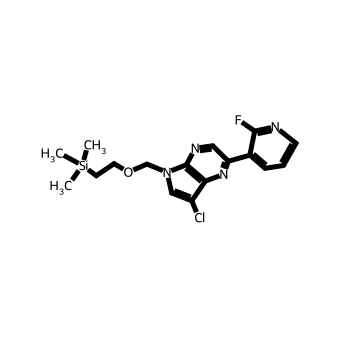 C[Si](C)(C)CCOCn1cc(Cl)c2nc(-c3cccnc3F)cnc21